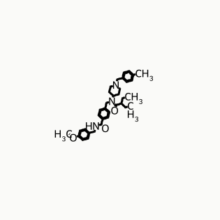 CCC(CC)C(=O)N(Cc1ccc(C(=O)NCc2ccc(OC)cc2)cc1)C1CCN(Cc2ccc(C)cc2)CC1